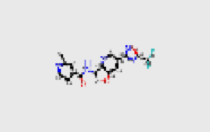 Cc1cc(C(=O)N[C@@H]2COc3cc(-c4noc(C(F)F)n4)cnc32)ccn1